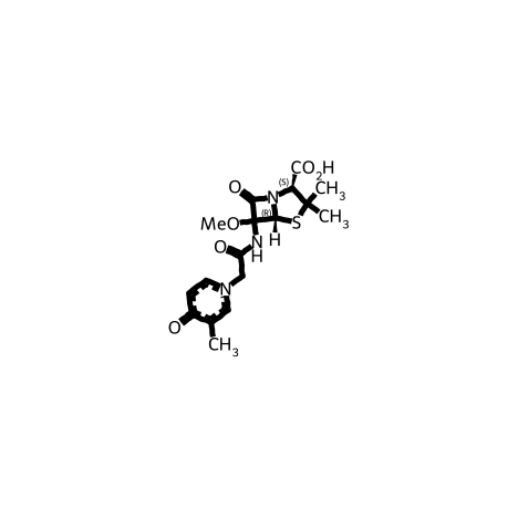 COC1(NC(=O)Cn2ccc(=O)c(C)c2)C(=O)N2[C@@H](C(=O)O)C(C)(C)S[C@@H]21